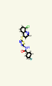 O=C(Nc1nnc(Sc2ccnc3c(Cl)cccc23)s1)c1ccc(F)cc1